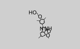 COc1cc(C)cc2nc(-c3cc(C)c(OCCO)c(C)c3)[nH]c(=O)c12